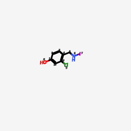 Oc1ccc(CNI)c(Cl)c1